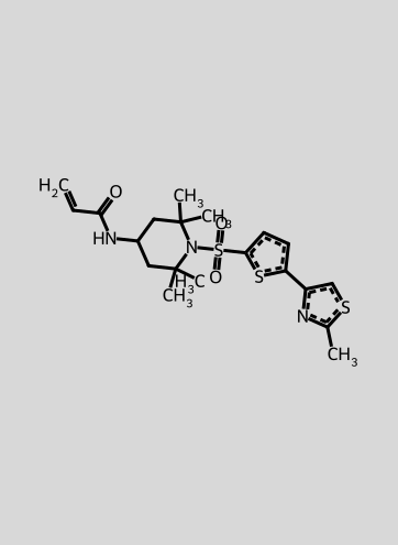 C=CC(=O)NC1CC(C)(C)N(S(=O)(=O)c2ccc(-c3csc(C)n3)s2)C(C)(C)C1